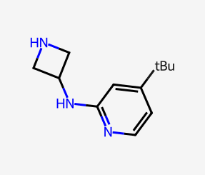 CC(C)(C)c1ccnc(NC2CNC2)c1